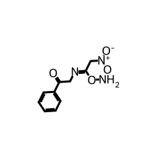 NOC(C[N+](=O)[O-])=NCC(=O)c1ccccc1